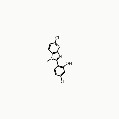 Cn1c(-c2ccc(Cl)cc2O)nc2nc(Cl)ccc21